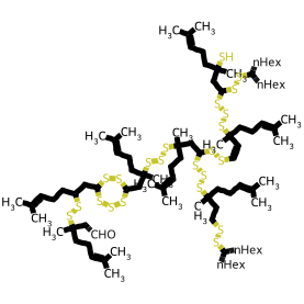 CCCCCCC(CCCCCC)SSCCC(C)(CCC=C(C)C)SSSC(CC(C)(CCC=C(C)C)SSSC(C)(CCC=C(C)C)CC1SSSC(CC(CCC=C(C)C)SSC(C)(CC=O)CCC=C(C)C)SS1)SS/C=C\C(C)(CCC=C(C)C)SSSC(CC(C)(S)CCC=C(C)C)SSC(CCCCCC)CCCCCC